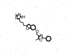 Cc1oc(-c2ccccc2)nc1COc1ccc2cc(CCCc3nnn[nH]3)oc2c1